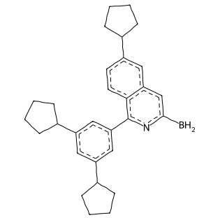 Bc1cc2cc(C3CCCC3)ccc2c(-c2cc(C3CCCC3)cc(C3CCCC3)c2)n1